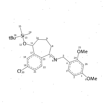 COc1ccc(CN=C2CCCC(O[Si](C)(C)C(C)(C)C)c3cc(Cl)ccc32)c(OC)c1